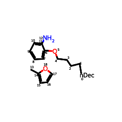 CCCCCCCCCCCCCCOc1ccccc1N.Cc1ccco1